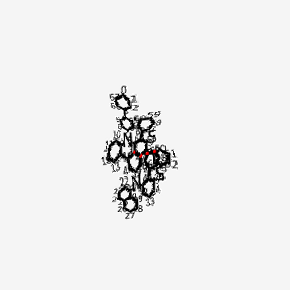 c1ccc(-c2ccc(N(c3ccccc3-c3cccc(N(c4cccc5ccccc45)c4cccc5sc6ccccc6c45)c3)c3ccc(-c4ccccc4)c4sc5ccccc5c34)cc2)cc1